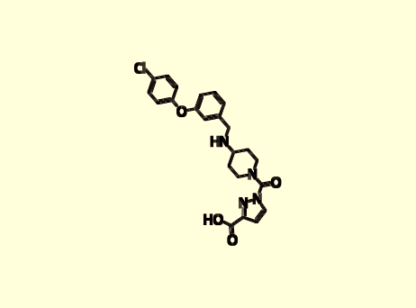 O=C(O)c1ccn(C(=O)N2CCC(NCc3cccc(Oc4ccc(Cl)cc4)c3)CC2)n1